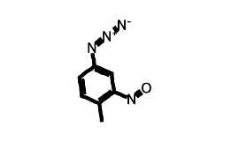 Cc1ccc(N=[N+]=[N-])cc1N=O